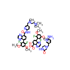 COc1cc(OC)c(F)c(-c2ccc(C(=O)Nc3ccc(CN(C)CCN(C)C)cn3)c3nccnc23)c1F.COc1cc(OC)c(F)c(-c2ccc(C(=O)O)c3nccnc23)c1F.Nc1ccc(CN2CCNC(=O)C2)cn1